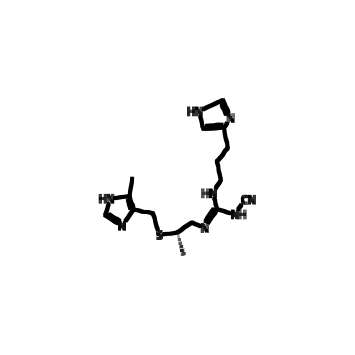 Cc1[nH]cnc1CS[C@@H](C)CN=C(NC#N)NCCCc1c[nH]cn1